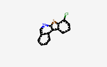 Clc1cccc2c1sc1ncc3ccccc3c12